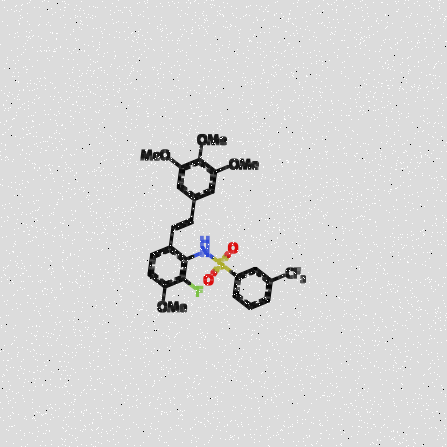 COc1ccc(C=Cc2cc(OC)c(OC)c(OC)c2)c(NS(=O)(=O)c2cccc(C(F)(F)F)c2)c1F